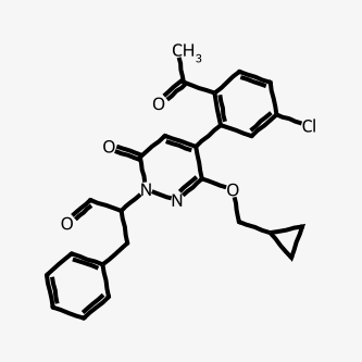 CC(=O)c1ccc(Cl)cc1-c1cc(=O)n(C(C=O)Cc2ccccc2)nc1OCC1CC1